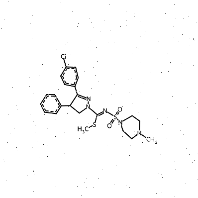 CSC(=NS(=O)(=O)N1CCN(C)CC1)N1CC(c2ccccc2)C(c2ccc(Cl)cc2)=N1